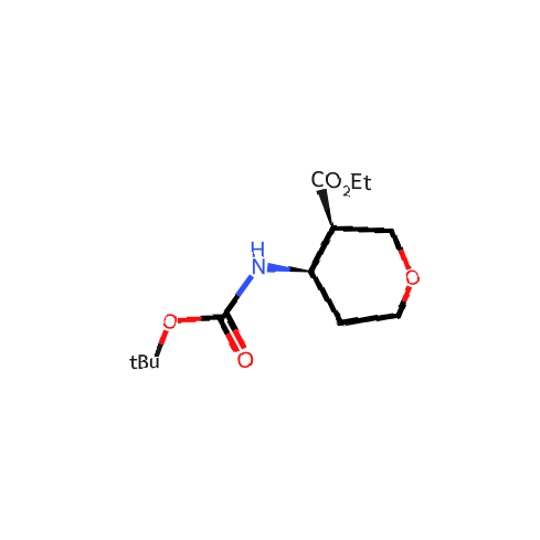 CCOC(=O)[C@H]1COCC[C@H]1NC(=O)OC(C)(C)C